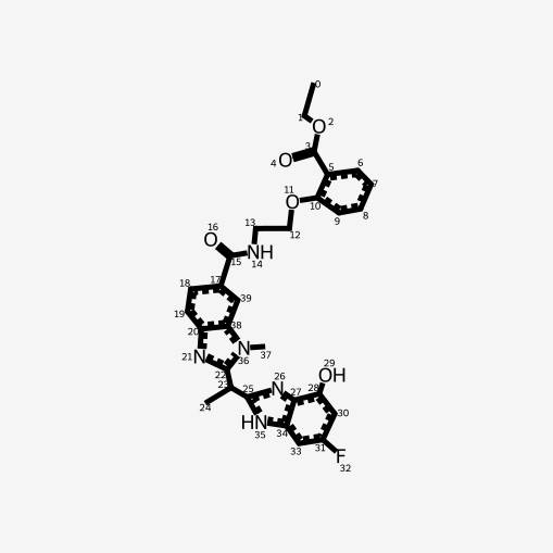 CCOC(=O)c1ccccc1OCCNC(=O)c1ccc2nc(C(C)c3nc4c(O)cc(F)cc4[nH]3)n(C)c2c1